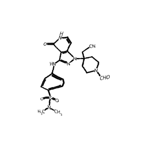 CN(C)S(=O)(=O)c1ccc(Nc2nn(C3(CC#N)CCN(C=O)CC3)c3cc[nH]c(=O)c23)cc1